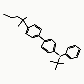 CCCC(C)(C)c1ccc(-c2ccc(N(c3ccccc3)C(C)(C)C)cc2)cc1